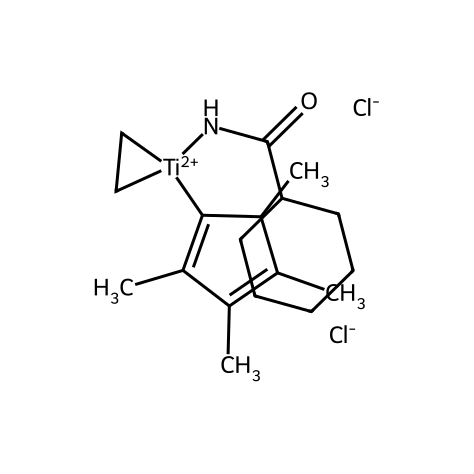 CC1=C(C)C(C)[C]([Ti+2]2([NH]C(=O)C3CCCCC3)[CH2][CH2]2)=C1C.[Cl-].[Cl-]